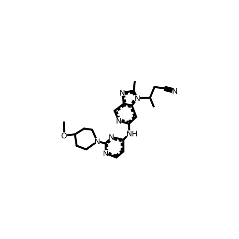 COC1CCN(c2nccc(Nc3cc4c(cn3)nc(C)n4C(C)CC#N)n2)CC1